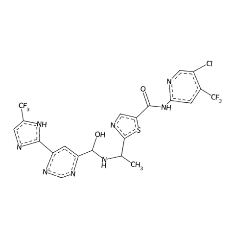 CC(NC(O)c1cc(-c2ncc(C(F)(F)F)[nH]2)ncn1)c1ncc(C(=O)Nc2cc(C(F)(F)F)c(Cl)cn2)s1